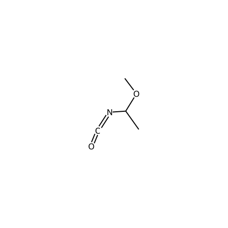 COC(C)N=C=O